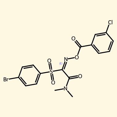 CN(C)C(=O)/C(=N\OC(=O)c1cccc(Cl)c1)S(=O)(=O)c1ccc(Br)cc1